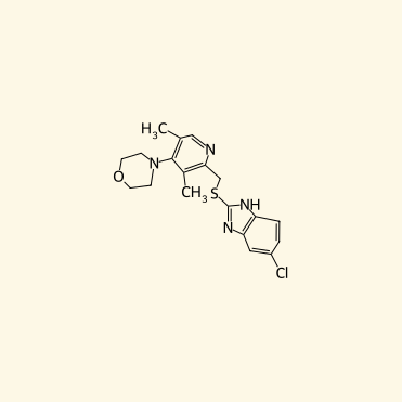 Cc1cnc(CSc2nc3cc(Cl)ccc3[nH]2)c(C)c1N1CCOCC1